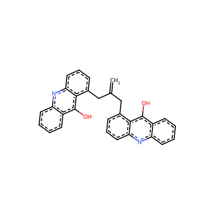 C=C(Cc1cccc2nc3ccccc3c(O)c12)Cc1cccc2nc3ccccc3c(O)c12